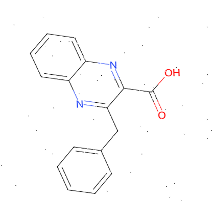 O=C(O)c1nc2ccccc2nc1Cc1ccccc1